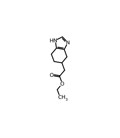 CCOC(=O)CC1CCc2[nH]cnc2C1